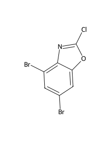 Clc1nc2c(Br)cc(Br)cc2o1